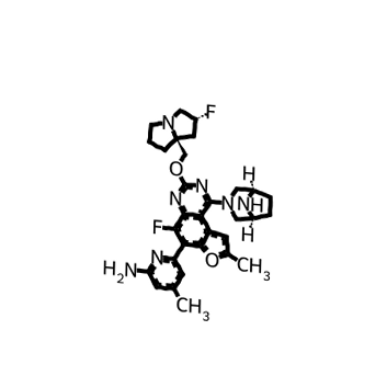 Cc1cc(N)nc(-c2c(F)c3nc(OC[C@@]45CCCN4C[C@H](F)C5)nc(N4C[C@H]5CC[C@@H](C4)N5)c3c3cc(C)oc23)c1